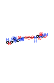 Nc1ncnc2c1c(-c1ccc(Oc3ccccc3)cc1)nn2[C@@H]1CCCN(C(=O)c2cn(CCOCCOCCOCCNc3ccc4c(c3)C(=O)N(C3CCC(=O)NC3=O)C4=O)nn2)C1